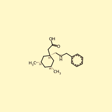 C[C@@H]1C[C@H](C)C[C@@](CNCc2ccccc2)(CC(=O)O)C1